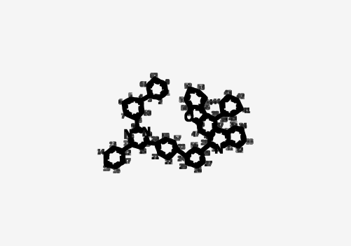 c1ccc(-c2cccc(-c3nc(-c4ccccc4)cc(-c4ccc(-c5cccc(-c6nc7ccccc7c7c(-c8ccccc8)c8c(cc67)oc6ccccc68)c5)cc4)n3)c2)cc1